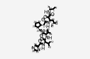 CC[C@H](C)NC(=O)C(=O)C(CC(F)F)NC(=O)C[C@H]1CCC[C@H]1CNC(=O)[C@@H](NC(=O)[C@H](NC(=O)c1cnccn1)C(C)C)C(C)C